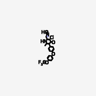 Cc1[nH]c(/C=N/O)c(Cl)c(=O)c1-c1ccc(Oc2ccc(OC(F)(F)F)cc2)cc1